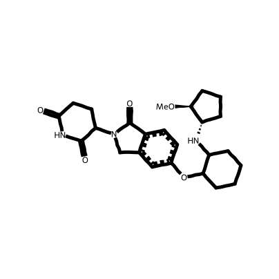 CO[C@H]1CCC[C@@H]1NC1CCCCC1Oc1ccc2c(c1)CN(C1CCC(=O)NC1=O)C2=O